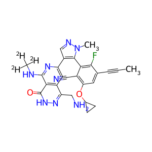 [2H]C([2H])([2H])Nc1nc(-c2cnn(C)c2-c2c(F)c(C#CC)cc(OC3CC3)c2C#N)cc2c(CN)n[nH]c(=O)c12